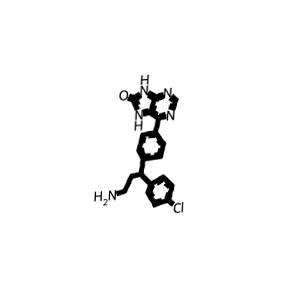 NCCC(c1ccc(Cl)cc1)c1ccc(-c2ncnc3[nH]c(=O)[nH]c23)cc1